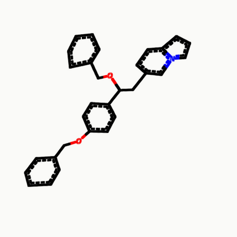 c1ccc(COc2ccc(C(Cc3ccc4cccn4c3)OCc3ccccc3)cc2)cc1